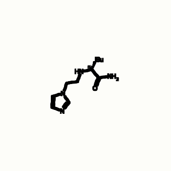 CCC(C)[C@H](NCCn1ccnc1)C(N)=O